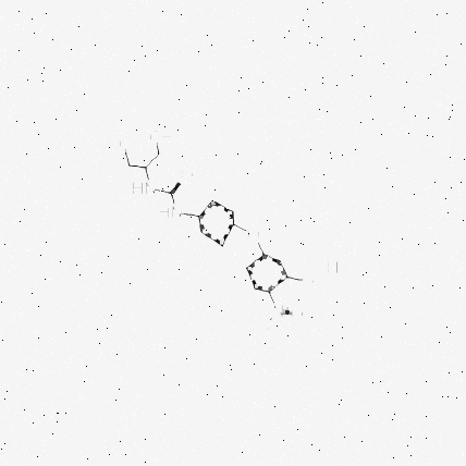 CCC(CC)NC(=O)Nc1ccc(Oc2ccc([N+](=O)[O-])c(OC)c2)cc1